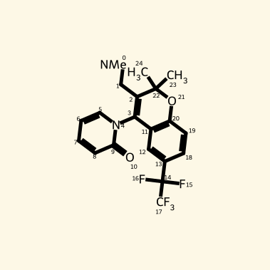 CNCC1=C(n2ccccc2=O)c2cc(C(F)(F)C(F)(F)F)ccc2OC1(C)C